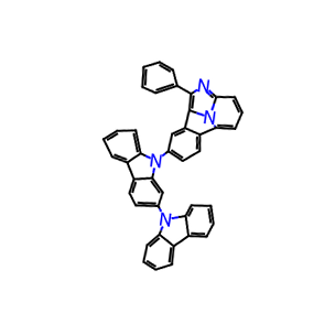 c1ccc(-c2nc3cccc4c5ccc(-n6c7ccccc7c7ccc(-n8c9ccccc9c9ccccc98)cc76)cc5c2n34)cc1